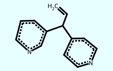 C=CC(c1ccncc1)c1cccnc1